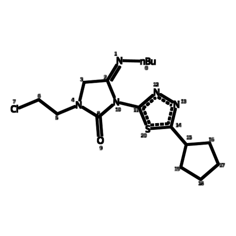 CCCCN=C1CN(CCCl)C(=O)N1c1nnc(C2CCCC2)s1